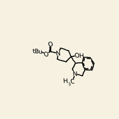 CN1Cc2ccccc2C(C2(O)CCN(C(=O)OC(C)(C)C)CC2)C1